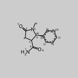 CN1C(=O)CC(C(N)=O)[C@@H]1c1cccnc1